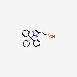 OCCCc1c[nH]c(C(c2ccccc2)(c2ccccc2)c2ccccc2)n1